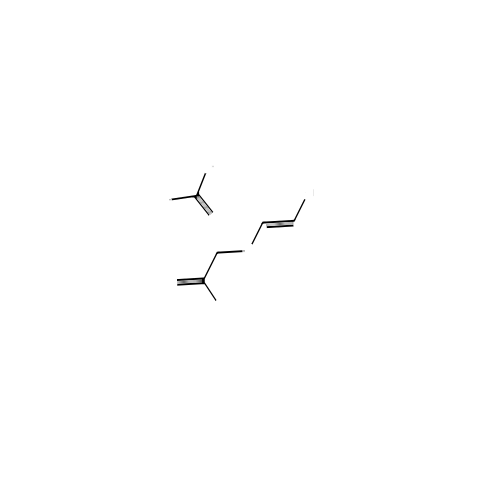 C=C(C)COC=CC.O=C(O)O